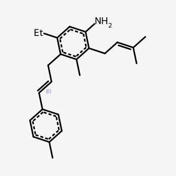 CCc1cc(N)c(CC=C(C)C)c(C)c1C/C=C/c1ccc(C)cc1